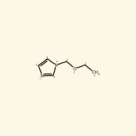 CCOCn1[c]cnc1